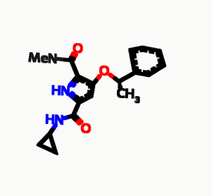 CNC(=O)c1[nH]c(C(=O)NC2CC2)cc1O[C@H](C)c1ccccc1